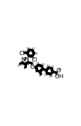 Cc1cc(OCc2c(C)c(C)nn2-c2c(Cl)cccc2Cl)ccc1-c1ccc(C(=O)O)cc1